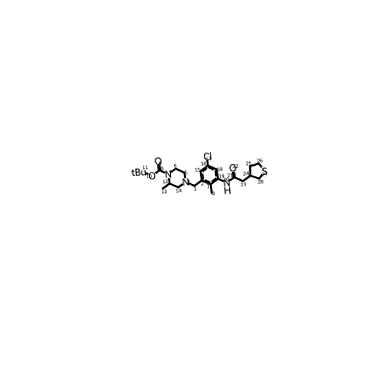 Cc1c(CN2CCN(C(=O)OC(C)(C)C)C(C)C2)cc(Cl)cc1NC(=O)CC1CCSC1